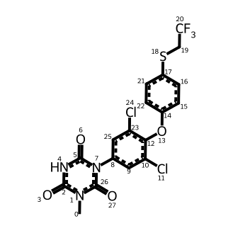 Cn1c(=O)[nH]c(=O)n(-c2cc(Cl)c(Oc3ccc(SCC(F)(F)F)cc3)c(Cl)c2)c1=O